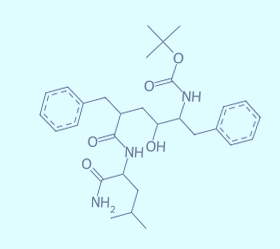 CC(C)CC(NC(=O)C(Cc1ccccc1)CC(O)C(Cc1ccccc1)NC(=O)OC(C)(C)C)C(N)=O